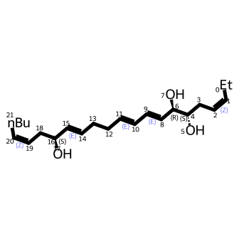 CC/C=C\C[C@H](O)[C@H](O)/C=C/C=C/CC/C=C/[C@@H](O)C/C=C\CCCC